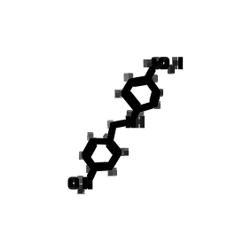 O=[N+]([O-])c1ccc(CNc2ccc(S(=O)(=O)O)cc2)cc1